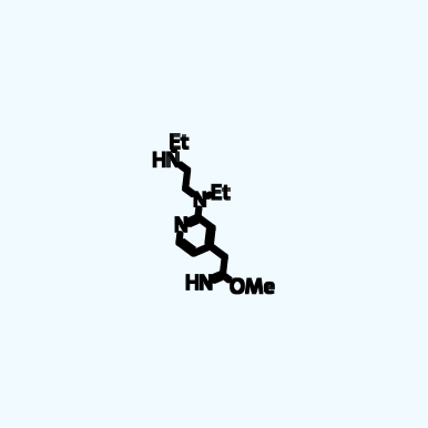 CCNCCN(CC)c1cc(CC(=N)OC)ccn1